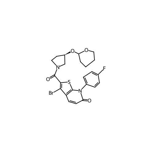 O=C(c1sc2c(ccc(=O)n2-c2ccc(F)cc2)c1Br)N1CC[C@@H](OC2CCCCO2)C1